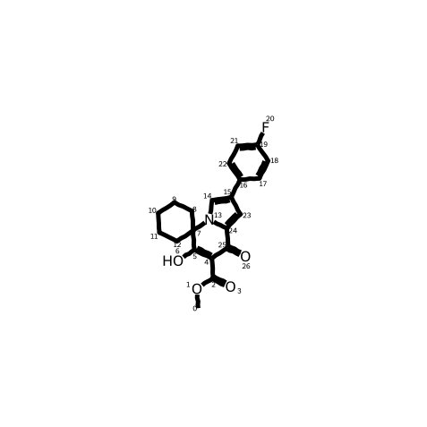 COC(=O)C1=C(O)C2(CCCCC2)n2cc(-c3ccc(F)cc3)cc2C1=O